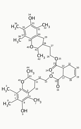 Cc1c(C)c2c(c(C)c1O)CC(CCOC(=O)C1CC=CCC1C(=O)OCCC1Cc3c(C)c(O)c(C)c(C)c3OC1C)C(C)O2